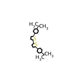 CC(C)c1ccc(-c2ccc(-c3ccc(-c4ccc(C(C)C)cc4)s3)s2)cc1